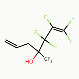 C=CCC(O)(C(F)(F)F)C(F)(F)C(F)=C(F)F